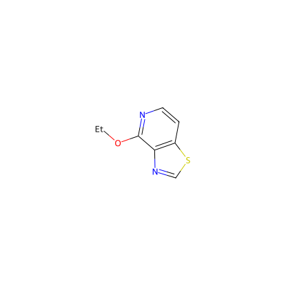 CCOc1nccc2scnc12